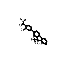 CN(C)C(=O)c1ccc(-c2ccc3c(c2)C(O)(C(F)(F)F)c2ccccc2-3)cc1Cl